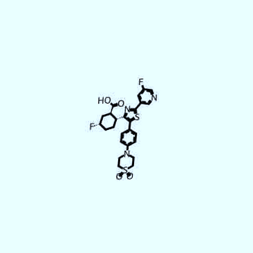 O=C(O)[C@@H]1C[C@@H](F)CC[C@H]1c1nc(-c2cncc(F)c2)sc1-c1ccc(N2CCS(=O)(=O)CC2)cc1